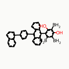 Bc1c(B)c(-c2c3ccccc3c(-c3ccc(-c4cccc5ccccc45)cc3)c3ccccc23)c(O)c(B)c1O